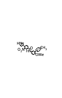 COc1ccc(NC(=O)c2ccc(-c3cc[nH]n3)c([N+](=O)[O-])c2)cc1N1CCN(C)CC1